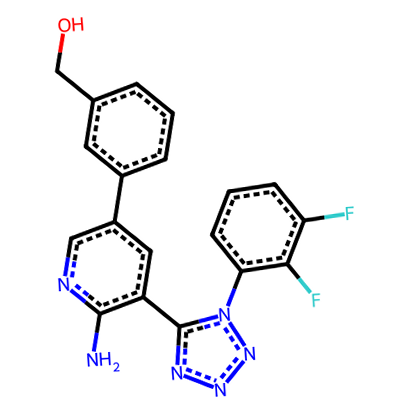 Nc1ncc(-c2cccc(CO)c2)cc1-c1nnnn1-c1cccc(F)c1F